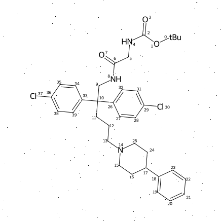 CC(C)(C)OC(=O)NCC(=O)NCC(CCCN1CCC(c2ccccc2)CC1)(c1ccc(Cl)cc1)c1ccc(Cl)cc1